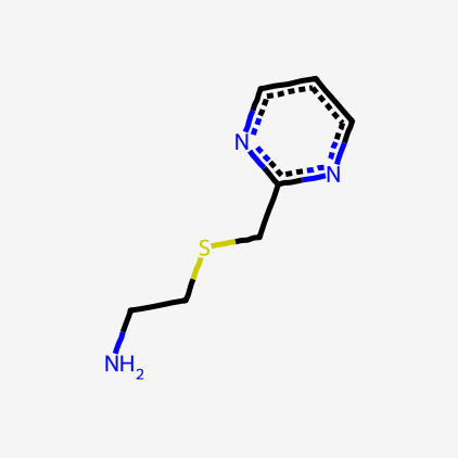 NCCSCc1ncccn1